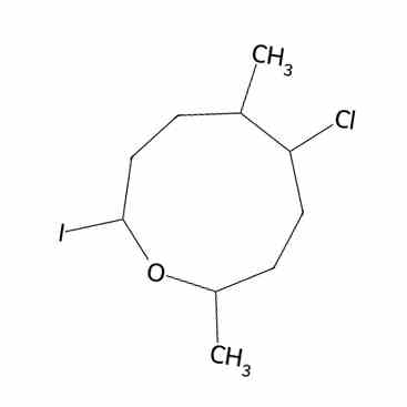 CC1CCC(Cl)C(C)CCC(I)O1